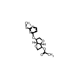 CSc1nccc(O[C@H]2CO[C@H]3[C@@H]2OC[C@@H]3OC(C)=O)n1